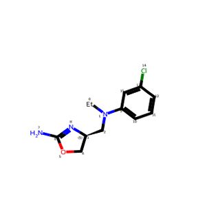 CCN(C[C@H]1COC(N)=N1)c1cccc(Cl)c1